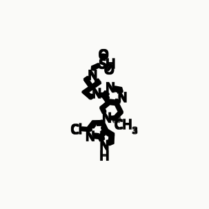 C[C@@H]1Cc2ncnc(N3CCC34CN(C[SH](=O)=O)C4)c2CN1c1cc(Cl)nc2[nH]ccc12